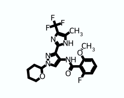 COc1cccc(F)c1C(=O)Nc1cn(C2CCCCO2)nc1-c1nc(C(F)(F)F)c(C)[nH]1